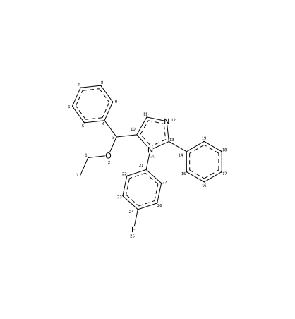 CCOC(c1ccccc1)c1cnc(-c2ccccc2)n1-c1ccc(F)cc1